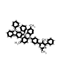 Cc1ccc2c(c1)[Si](c1ccccc1)(c1ccc3c4ccccc4n(-c4ccccc4)c3c1)c1cc(C)ccc1N2c1ccc(-c2nc(C)nc(-c3ccccc3)c2C)cc1